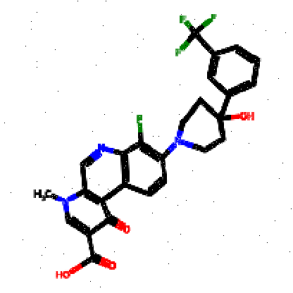 Cn1cc(C(=O)O)c(=O)c2c3ccc(N4CCC(O)(c5cccc(C(F)(F)F)c5)CC4)c(F)c3ncc21